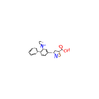 [C-]#[N+]c1cc(-c2cc(C(=O)O)sn2)ccc1-c1ccccc1